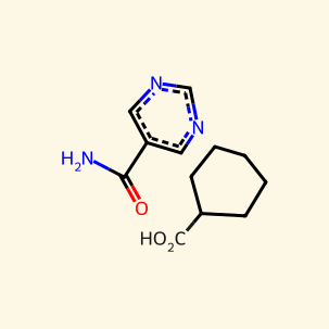 NC(=O)c1cncnc1.O=C(O)C1CCCCC1